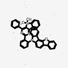 C[Si]1(C)c2ccccc2-c2nc(-c3ccccc3-n3c4ccccc4c4c5oc6ccccc6c5ccc43)nc(-c3ccccc3)c21